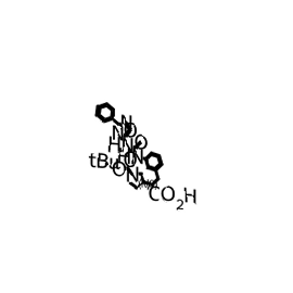 CC(C)(C)OC(=O)N1CC[C@H]([C@H](Cc2cccc(NC(=O)Nc3nc(-c4ccccc4)no3)c2)C(=O)O)C1